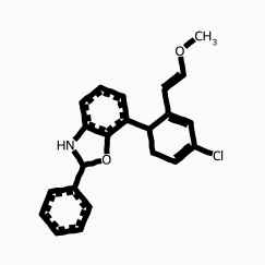 CO/C=C/C1=CC(Cl)=CCC1c1cccc2c1OC(c1ccccc1)N2